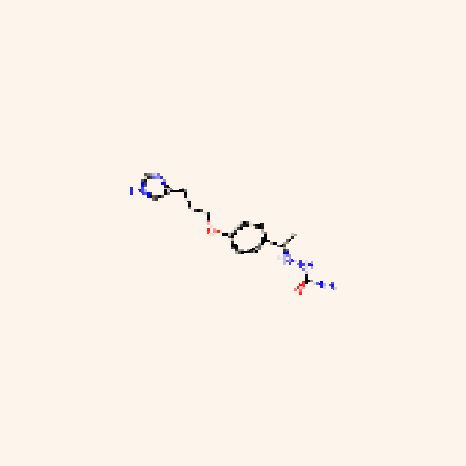 C/C(=N\NC(N)=O)c1ccc(OCCCc2c[nH]cn2)cc1